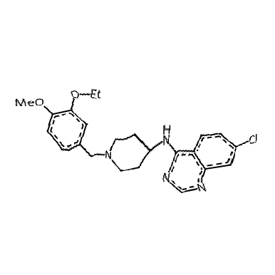 CCOc1cc(CN2CCC(Nc3ncnc4cc(Cl)ccc34)CC2)ccc1OC